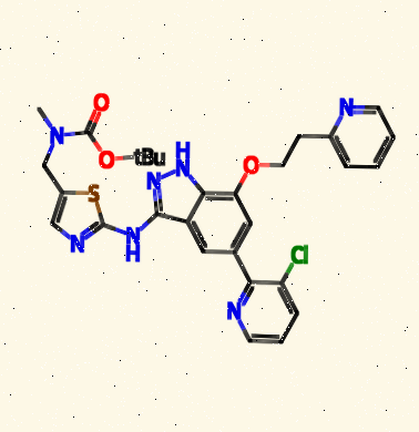 CN(Cc1cnc(Nc2n[nH]c3c(OCCc4ccccn4)cc(-c4ncccc4Cl)cc23)s1)C(=O)OC(C)(C)C